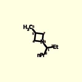 CCCC(CC)N1CC(C)C1